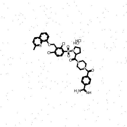 Cc1ccc2cccc(OCc3c(Cl)ccc(S(=O)(=O)N4CCCC4C(=O)N4CCN(C(=O)c5ccc(C(=N)N)cc5)CC4)c3Cl)c2n1.Cl.Cl